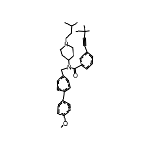 COc1ccc(-c2ccc(CN(C(=O)c3cccc(C#CC(C)(C)C)c3)C3CCN(CCC(C)C)CC3)cc2)cc1